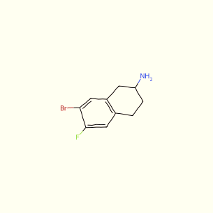 NC1CCc2cc(F)c(Br)cc2C1